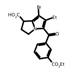 CCOC(=O)c1cccc(C(=O)c2c(CC)c(Br)c3n2CCC3C(=O)O)c1